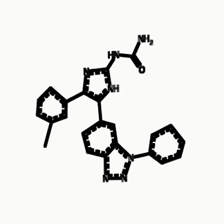 Cc1cccc(-c2nc(NC(N)=O)[nH]c2-c2ccc3nnn(-c4ccccc4)c3c2)c1